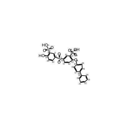 O=S(=O)(O)c1cc(S(=O)(=O)c2ccc(Oc3ccc(-c4ccccc4)cc3)c(S(=O)(=O)O)c2)ccc1O